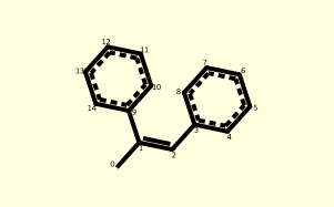 CC(=Cc1ccccc1)c1ccccc1